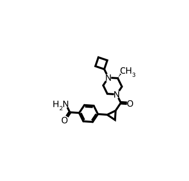 C[C@@H]1CN(C(=O)C2CC2c2ccc(C(N)=O)cc2)CCN1C1CCC1